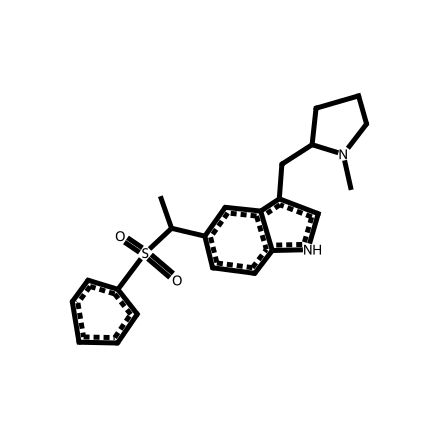 CC(c1ccc2[nH]cc(CC3CCCN3C)c2c1)S(=O)(=O)c1ccccc1